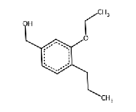 CCCc1ccc(CO)cc1OCC